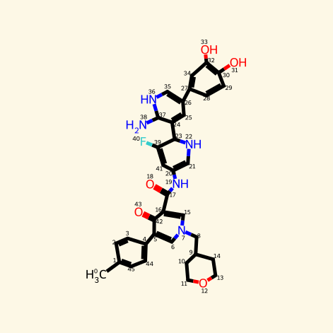 Cc1ccc(-c2cn(CC3CCOCC3)cc(C(=O)NC3=CNC(C4=CC(c5ccc(O)c(O)c5)=CNC4N)C(F)=C3)c2=O)cc1